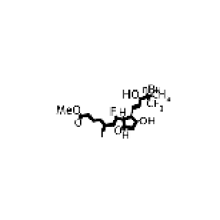 CCCCC(C)([C@H](O)/C=C/[C@@H]1[C@H]2C(F)C(C(I)CCCC(=O)OC)O[C@H]2C[C@H]1O)C(F)(F)F